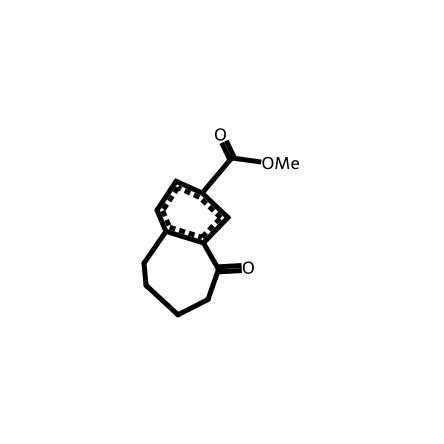 COC(=O)c1ccc2c(c1)C(=O)CCCC2